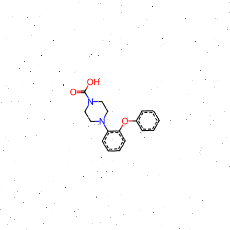 O=C(O)N1CCN(c2ccccc2Oc2ccccc2)CC1